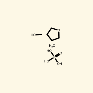 C1CCOC1.CO.O.O=P(O)(O)O